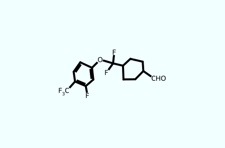 O=CC1CCC(C(F)(F)Oc2ccc(C(F)(F)F)c(F)c2)CC1